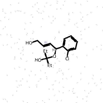 CCC(O)(CC)O[C@@H](/C=C/CO)c1ccccc1Cl